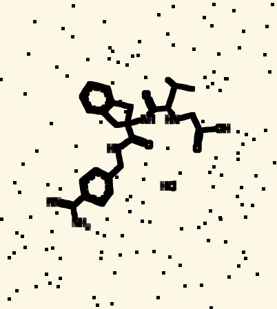 CC(C)[C@@H](NCC(=O)O)C(=O)NC1(C(=O)NCc2ccc(C(=N)N)cc2)Cc2ccccc2C1.Cl